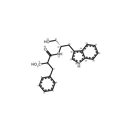 O=C(O)C(Cc1ccccc1)C(=O)N[C@H](CO)Cc1c[nH]c2ccccc12